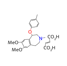 COc1cc2c(cc1OC)C(Oc1ccc(C)cc1)CN(C)CC2.O=C(O)C=CC(=O)O